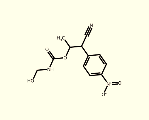 CC(OC(=O)NCO)C(C#N)c1ccc([N+](=O)[O-])cc1